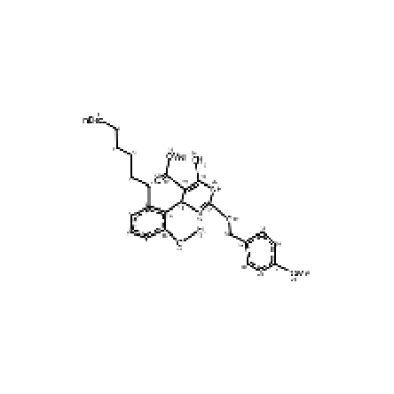 CCCCCCCCCCCCCCCc1cccc(OCC)c1C1N=C(OCc2ccc(OC)cc2)NC(C)=C1C(=O)OC